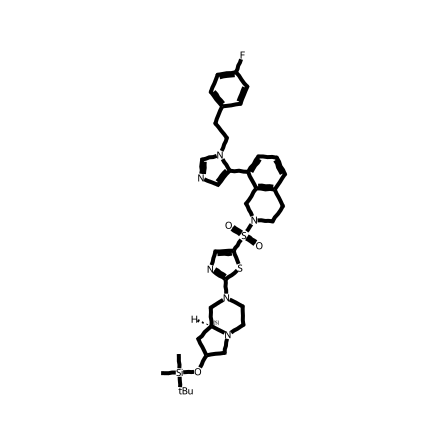 CC(C)(C)[Si](C)(C)OC1C[C@H]2CN(c3ncc(S(=O)(=O)N4CCc5cccc(-c6cncn6CCc6ccc(F)cc6)c5C4)s3)CCN2C1